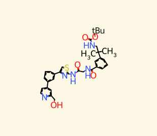 CC(C)(C)OC(=O)NCC(C)(C)c1cccc(C(=O)NCC(=O)Nc2nc(-c3cccc(-c4ccnc(CO)c4)c3)cs2)c1